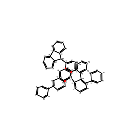 c1ccc(-c2ccc(N(c3cccc(-n4c5ccccc5c5ccccc54)c3)c3cccc(-c4ccccc4)c3-c3ccccc3-c3ccccc3)cc2)cc1